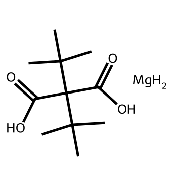 CC(C)(C)C(C(=O)O)(C(=O)O)C(C)(C)C.[MgH2]